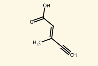 C#C/C(C)=C/C(=O)O